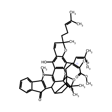 COC(=O)/C(C)=C\CC12OC(C)(C)C3CC(C1=O)C1C4=C(c5ccccc5C4=O)N(C)C4=C1C32Oc1c(CC=C(C)C)c2c(c(O)c14)C=CC(C)(CCC=C(C)C)O2